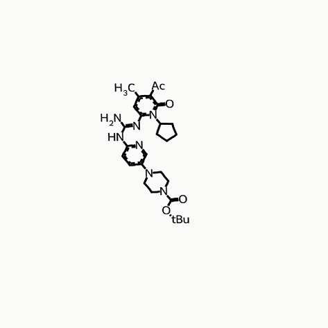 CC(=O)c1c(C)cc(/N=C(\N)Nc2ccc(N3CCN(C(=O)OC(C)(C)C)CC3)cn2)n(C2CCCC2)c1=O